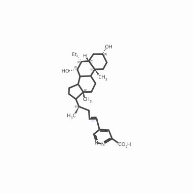 CC[C@H]1[C@@H](O)C2C3CCC([C@H](C)C/C=C/c4cnnc(C(=O)O)c4)[C@@]3(C)CCC2[C@@]2(C)CC[C@@H](O)C[C@@H]12